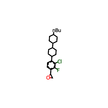 CCCCC1CCC(C2CCC(c3ccc(C4CO4)c(F)c3Cl)CC2)CC1